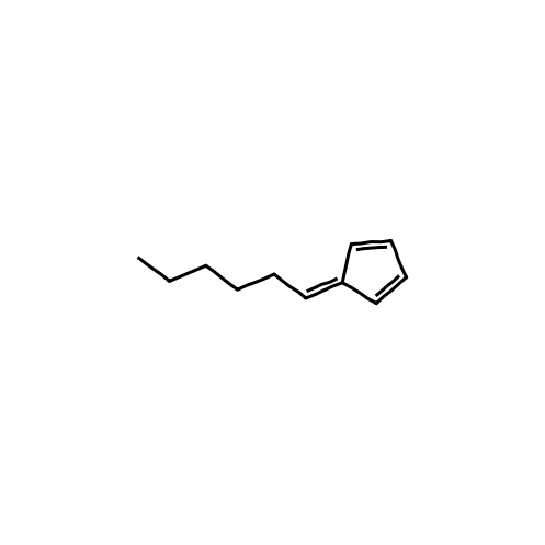 CCCCCC=C1C=CC=C1